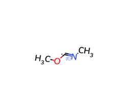 C/N=[C]/OC